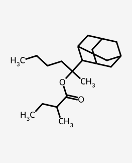 CCCCC(C)(OC(=O)C(C)CC)C1C2CC3CC(C2)CC1C3